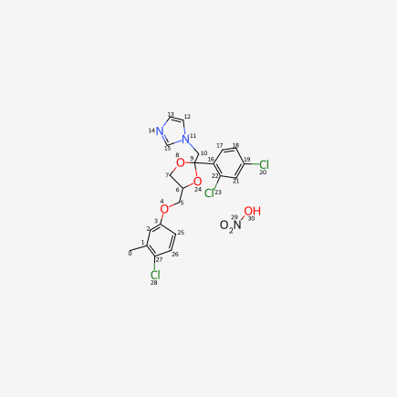 Cc1cc(OCC2COC(Cn3ccnc3)(c3ccc(Cl)cc3Cl)O2)ccc1Cl.O=[N+]([O-])O